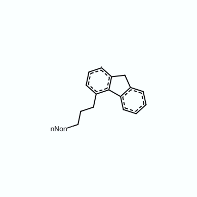 CCCCCCCCCCCCc1cc[c]c2c1-c1ccccc1C2